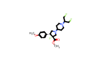 COC(=O)[C@]1(F)CN(C2CCN(C(CF)CF)CC2)C[C@H]1c1ccc(OC)cc1